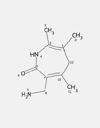 CC1=C(C)NC(=O)C(CN)=C(C)C1